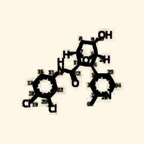 Cc1cc([C@@H]2[C@@H]3O[C@@H](C[C@H]3O)[C@@H]2C(=O)Nc2ccc(Cl)c(Cl)c2)ccn1